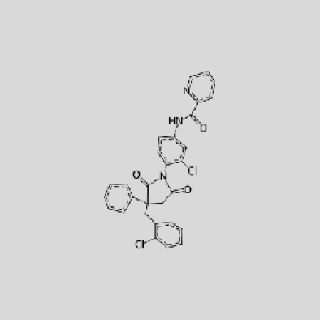 O=C(Nc1ccc(N2C(=O)CC(Cc3ccccc3Cl)(c3ccccc3)C2=O)c(Cl)c1)c1ccccn1